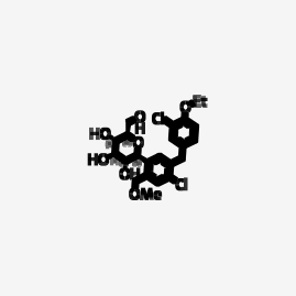 CCOc1ccc(Cc2cc([C@@H]3O[C@H](CO)[C@@H](O)[C@H](O)[C@H]3O)c(COC)cc2Cl)cc1Cl